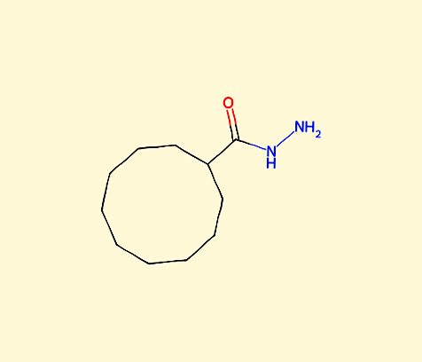 NNC(=O)C1CCCCCCCCC1